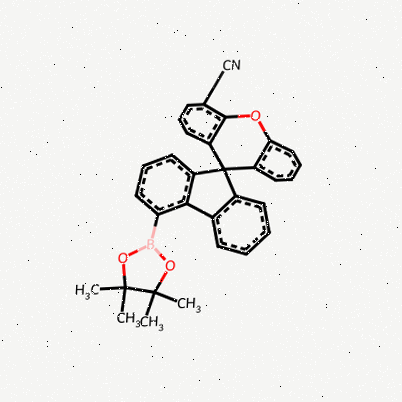 CC1(C)OB(c2cccc3c2-c2ccccc2C32c3ccccc3Oc3c(C#N)cccc32)OC1(C)C